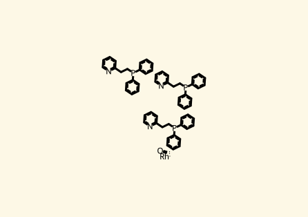 [C]=O.[Rh].c1ccc(P(CCc2ccccn2)c2ccccc2)cc1.c1ccc(P(CCc2ccccn2)c2ccccc2)cc1.c1ccc(P(CCc2ccccn2)c2ccccc2)cc1